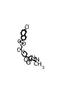 Cc1ncn2c1C(=O)C(C1(O)CCN(C(=O)CCS(=O)(=O)c3ccc4cc(Cl)ccc4c3)CC1)C2